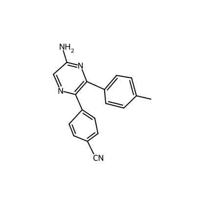 Cc1ccc(-c2nc(N)cnc2-c2ccc(C#N)cc2)cc1